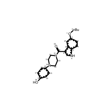 CCCCOc1ccc2[nH]cc(C(=O)N3CCN(c4ccc(O)cc4)CC3)c2c1